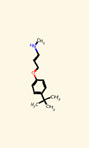 CNCCCOc1ccc(C(C)(C)C)cc1